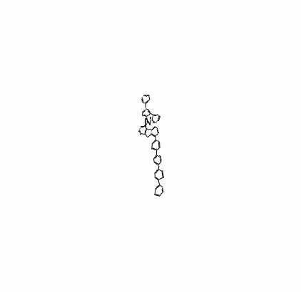 c1ccc(-c2ccc(-c3ccc(-c4ccc(-c5cccc6c5Cc5cccc(-n7c8ccccc8c8cc(-c9ccccc9)ccc87)c5-6)cc4)cc3)cc2)cc1